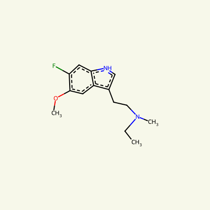 CCN(C)CCc1c[nH]c2cc(F)c(OC)cc12